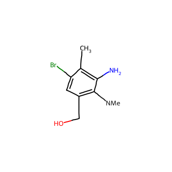 CNc1c(CO)cc(Br)c(C)c1N